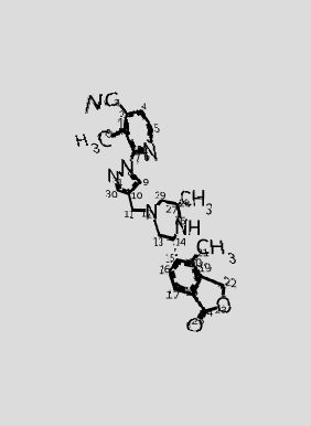 Cc1c(C#N)ccnc1-n1cc(CN2C[C@@H](c3ccc4c(c3C)COC4=O)N[C@@H](C)C2)cn1